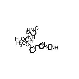 C=C(CNC1CCC(=O)NC1=O)C(C)(OC[C@H]1CCCCN1Cc1ccc(N2CCNCC2)nc1)C(C)C